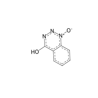 [O-][n+]1nnc(O)c2ccccc21